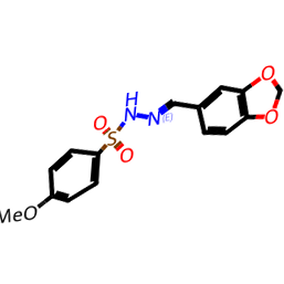 COc1ccc(S(=O)(=O)N/N=C/c2ccc3c(c2)OCO3)cc1